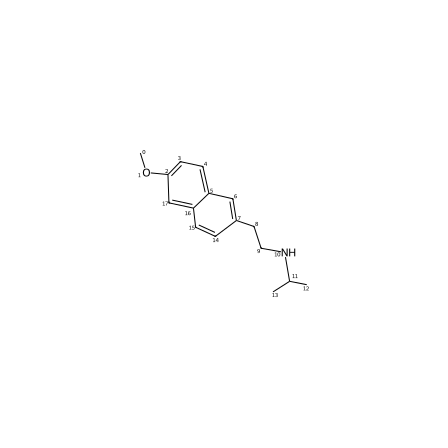 COc1ccc2cc(CCNC(C)C)ccc2c1